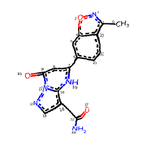 Cc1noc2cc(-c3cc(=O)n4ncc(C(N)=O)c4[nH]3)ccc12